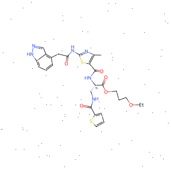 CCOCCCOC(=O)[C@H](CNC(=O)c1cccs1)NC(=O)c1sc(NC(=O)Cc2cccc3[nH]ncc23)nc1C